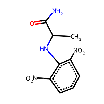 CC(Nc1c([N+](=O)[O-])cccc1[N+](=O)[O-])C(N)=O